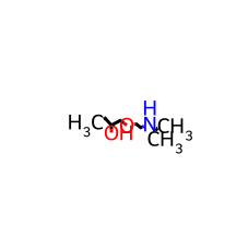 CCC(O)COCCNC(C)C